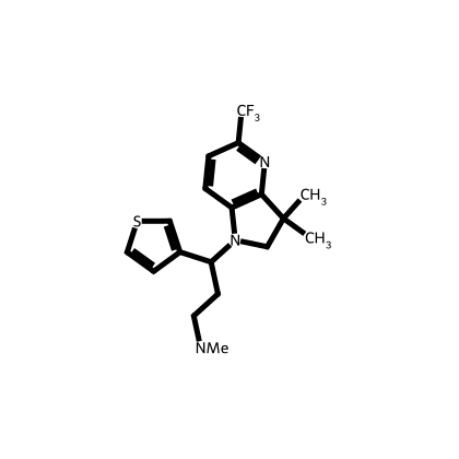 CNCCC(c1ccsc1)N1CC(C)(C)c2nc(C(F)(F)F)ccc21